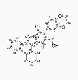 O=c1c(-c2ccc3c(c2)OCCO3)c(CO)[nH]c2c(C3=CCCCC3)c(-c3ccccc3)nn12